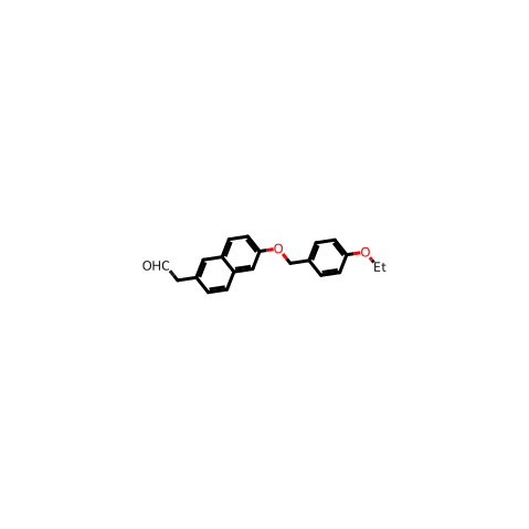 CCOc1ccc(COc2ccc3cc(CC=O)ccc3c2)cc1